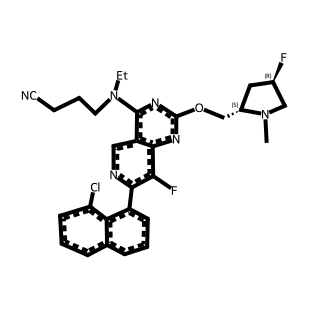 CCN(CCCC#N)c1nc(OC[C@@H]2C[C@@H](F)CN2C)nc2c(F)c(-c3cccc4cccc(Cl)c34)ncc12